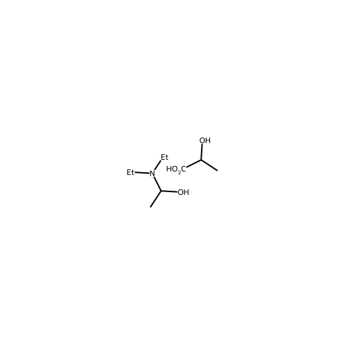 CC(O)C(=O)O.CCN(CC)C(C)O